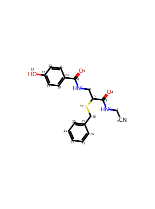 N#CCNC(=O)C(CNC(=O)c1ccc(O)cc1)SCc1ccccc1